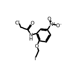 O=C(CCl)Nc1cc([N+](=O)[O-])ccc1OCI